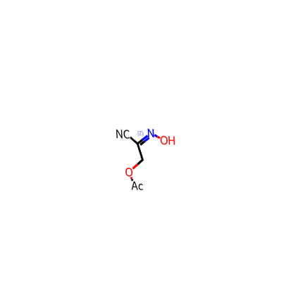 CC(=O)OC/C(C#N)=N\O